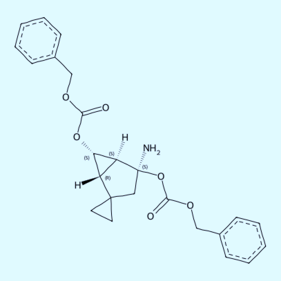 N[C@]1(OC(=O)OCc2ccccc2)CC2(CC2)[C@@H]2[C@H](OC(=O)OCc3ccccc3)[C@H]21